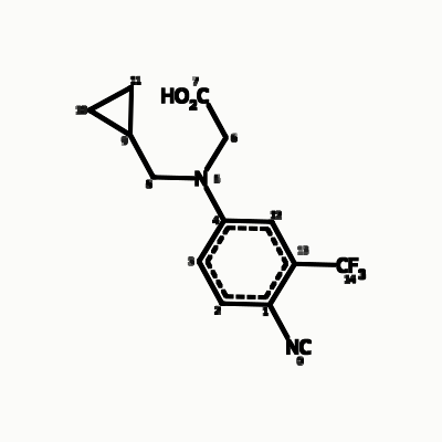 [C-]#[N+]c1ccc(N(CC(=O)O)CC2CC2)cc1C(F)(F)F